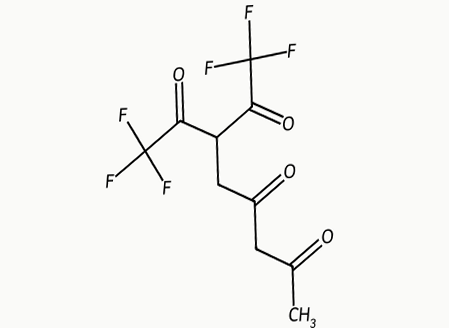 CC(=O)CC(=O)CC(C(=O)C(F)(F)F)C(=O)C(F)(F)F